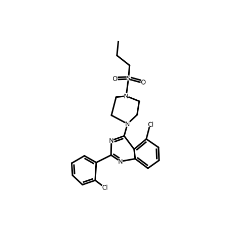 CCCS(=O)(=O)N1CCN(c2nc(-c3ccccc3Cl)nc3cccc(Cl)c23)CC1